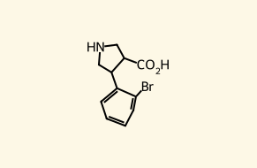 O=C(O)C1CNCC1c1ccccc1Br